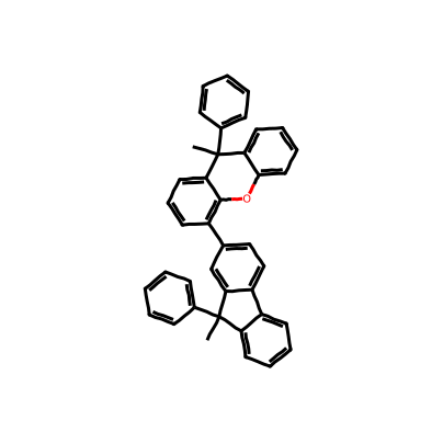 CC1(c2ccccc2)c2ccccc2-c2ccc(-c3cccc4c3Oc3ccccc3C4(C)c3ccccc3)cc21